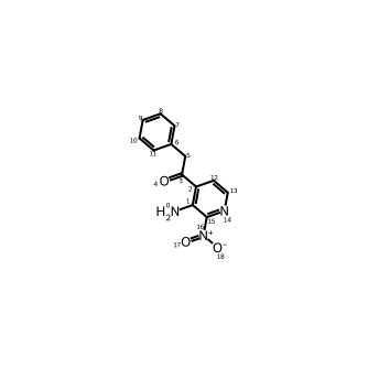 Nc1c(C(=O)Cc2ccccc2)ccnc1[N+](=O)[O-]